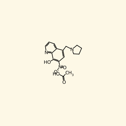 CC(=O)O.O=[N+]([O-])c1cc(CN2CCCC2)c2cccnc2c1O